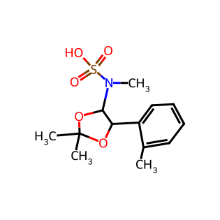 Cc1ccccc1C1OC(C)(C)OC1N(C)S(=O)(=O)O